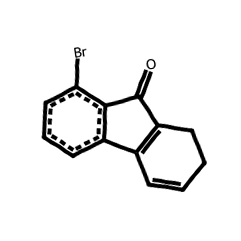 O=C1C2=C(C=CCC2)c2cccc(Br)c21